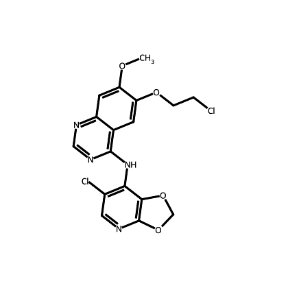 COc1cc2ncnc(Nc3c(Cl)cnc4c3OCO4)c2cc1OCCCl